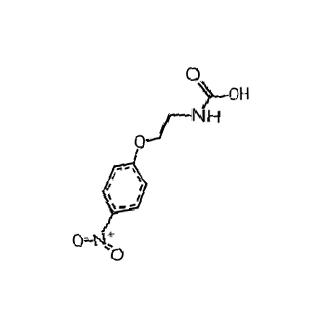 O=C(O)NCCOc1ccc([N+](=O)[O-])cc1